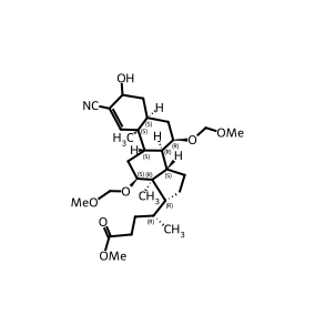 COCO[C@H]1C[C@H]2[C@@H]([C@H](OCOC)C[C@@H]3CC(O)C(C#N)=C[C@@]32C)[C@@H]2CC[C@H]([C@H](C)CCC(=O)OC)[C@@]12C